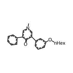 CCCCCCOc1cccc(-c2cn(C)cc(-c3ccccc3)c2=O)c1